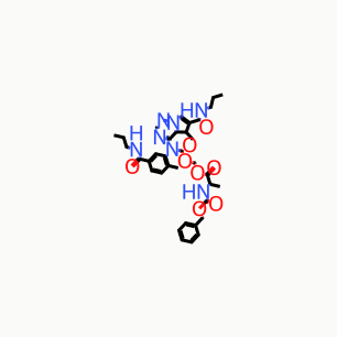 CCCNC(=O)C1=CN2N=CN=C(N(C(=O)OCOC(=O)C(C)NC(=O)OCc3ccccc3)c3cc(C(=O)NCCC)ccc3C)C2C1C